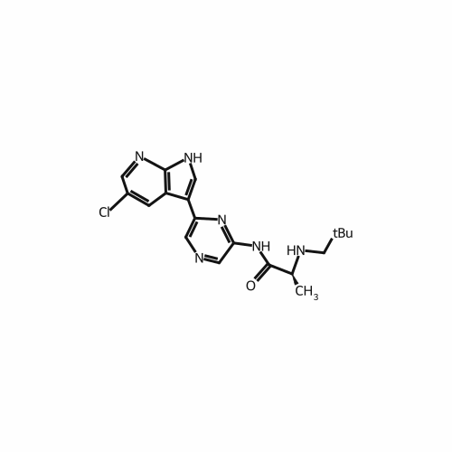 C[C@H](NCC(C)(C)C)C(=O)Nc1cncc(-c2c[nH]c3ncc(Cl)cc23)n1